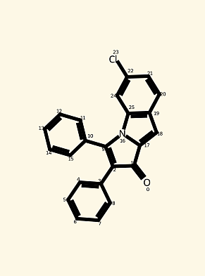 O=C1C(c2ccccc2)=C(c2ccccc2)n2c1cc1ccc(Cl)cc12